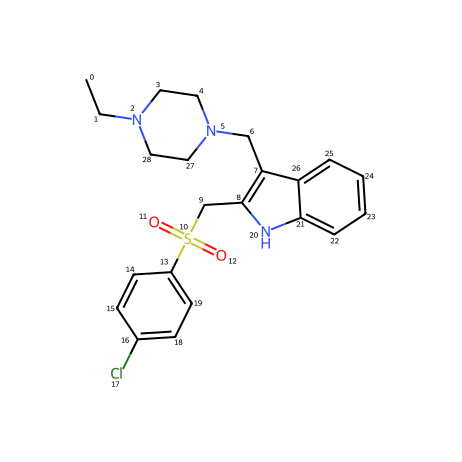 CCN1CCN(Cc2c(CS(=O)(=O)c3ccc(Cl)cc3)[nH]c3ccccc23)CC1